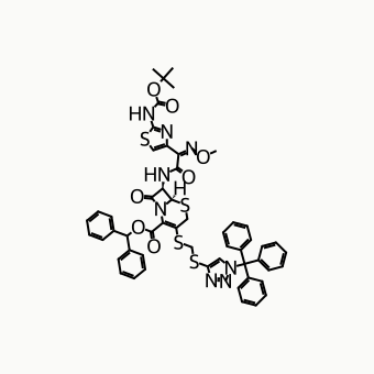 CO/N=C(\C(=O)N[C@@H]1C(=O)N2C(C(=O)OC(c3ccccc3)c3ccccc3)=C(SCSc3cn(C(c4ccccc4)(c4ccccc4)c4ccccc4)nn3)CS[C@H]12)c1csc(NC(=O)OC(C)(C)C)n1